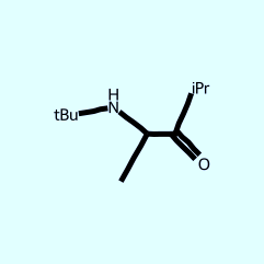 CC(C)C(=O)C(C)NC(C)(C)C